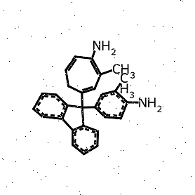 CC1=C(N)C=CCC(C2(c3ccc(N)c(C)c3)c3ccccc3-c3ccccc32)=C1